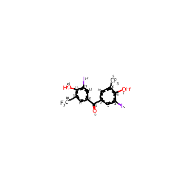 O=C(c1cc(I)c(O)c(C(F)(F)F)c1)c1cc(I)c(O)c(C(F)(F)F)c1